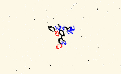 Cc1nc2c(Oc3ccccc3)c(-c3ccc(=O)n(C)c3)ccc2n1Cc1cnn(C)c1